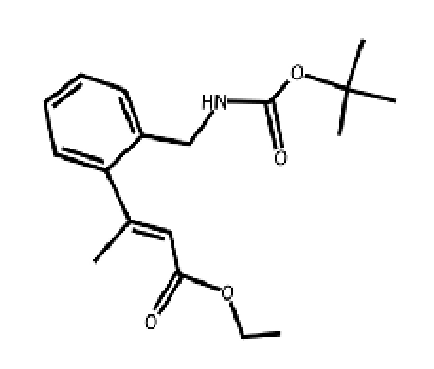 CCOC(=O)C=C(C)c1ccccc1CNC(=O)OC(C)(C)C